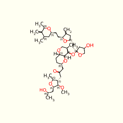 C=C1C[C@H](CC[C@]2(O[C@@H]3C(C)CO[C@H]4CC[C@H](CC(=O)C[C@@H]5[C@@H](OC)[C@@H](C[C@@H](C)O)O[C@H]5C)O[C@@H]43)CC(O)CO2)O[C@H]1CC[C@H]1C[C@@H](C)C(=C)[C@@H](C)O1